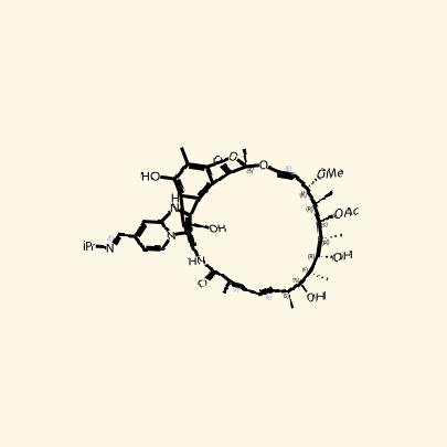 CO[C@H]1/C=C/O[C@@]2(C)Oc3c(C)c(O)c4c(O)c(c5c(c4c3C2=O)NC2C=C(/C=N/C(C)C)C=CN52)NC(=O)/C(C)=C\C=C\[C@H](C)[C@H](O)[C@@H](C)[C@@H](O)[C@@H](C)[C@H](OC(C)=O)[C@@H]1C